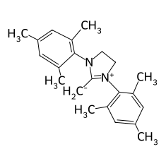 [CH2-]C1=[N+](c2c(C)cc(C)cc2C)CCN1c1c(C)cc(C)cc1C